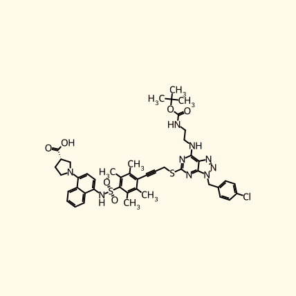 Cc1c(C)c(S(=O)(=O)Nc2ccc(N3CC[C@H](C(=O)O)C3)c3ccccc23)c(C)c(C)c1C#CCSc1nc(NCCNC(=O)OC(C)(C)C)c2nnn(Cc3ccc(Cl)cc3)c2n1